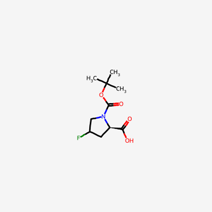 CC(C)(C)OC(=O)N1CC(F)C[C@@H]1C(=O)O